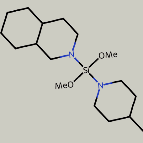 CO[Si](OC)(N1CCC(C)CC1)N1CCC2CCCCC2C1